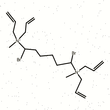 C=CC[N+](C)(CC=C)C(Br)CCCCC(Br)[N+](C)(CC=C)CC=C